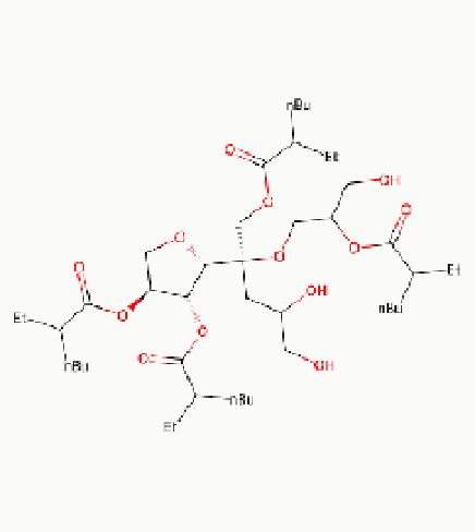 CCCCC(CC)C(=O)OC[C@@](CC(O)CO)(OCC(CO)OC(=O)C(CC)CCCC)[C@H]1OC[C@H](OC(=O)C(CC)CCCC)[C@H]1OC(=O)C(CC)CCCC